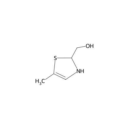 CC1=CNC(CO)S1